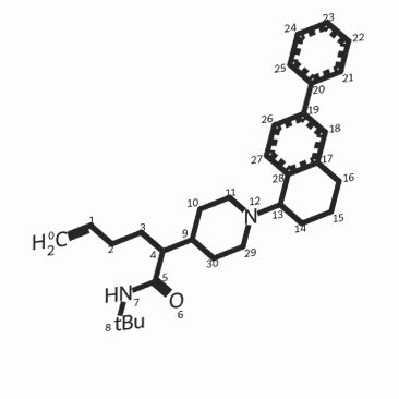 C=CCCC(C(=O)NC(C)(C)C)C1CCN(C2CCCc3cc(-c4ccccc4)ccc32)CC1